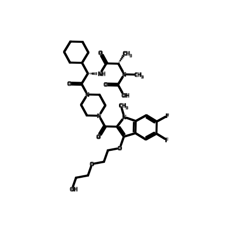 C[C@@H](C(=O)N[C@H](C(=O)N1CCN(C(=O)c2c(OCCOCCO)c3cc(F)c(F)cc3n2C)CC1)C1CCCCC1)N(C)C(=O)O